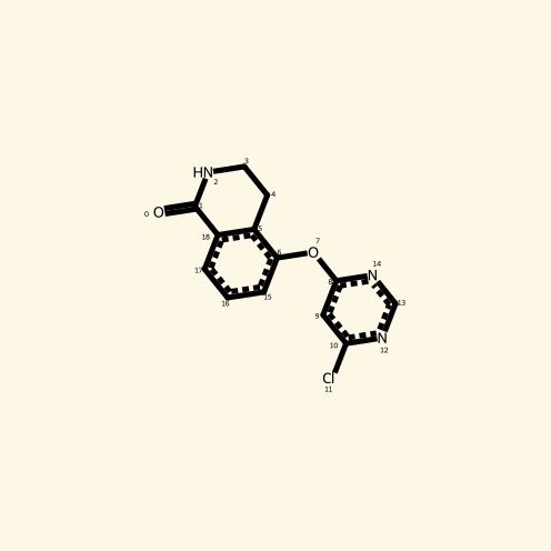 O=C1NCCc2c(Oc3cc(Cl)ncn3)cccc21